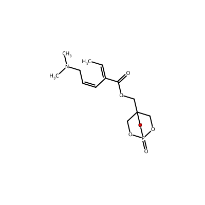 C/C=C(\C=C/CN(C)C)C(=O)OCC12COP(=O)(OC1)OC2